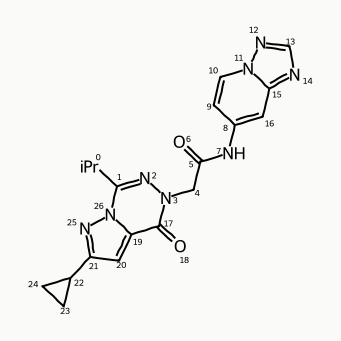 CC(C)c1nn(CC(=O)Nc2ccn3ncnc3c2)c(=O)c2cc(C3CC3)nn12